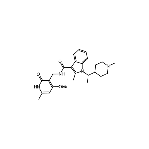 COc1cc(C)[nH]c(=O)c1CNC(=O)c1c(C)n([C@H](C)C2CCN(C)CC2)c2ccccc12